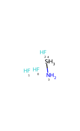 F.F.F.N[SiH3]